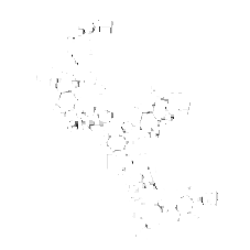 CC(CN1CC[PH](C)(O)CC1)Nc1ccc(S(=O)(=O)NC(=O)c2cc(F)c(N3CCN(CC4=C(c5ccc(Cl)cc5)CC(C)(C)CC4)CC3)cc2Oc2cnc3[nH]ccc3c2)cc1[N+](=O)[O-]